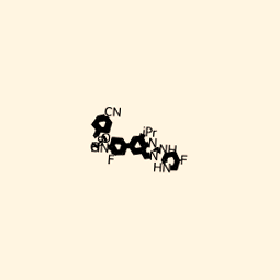 CC(C)c1cc(-c2ccc(NS(=O)(=O)Cc3ccc(C#N)cc3)c(F)c2)cc2cnc(N[C@@H]3CNC[C@@H](F)C3)nc12